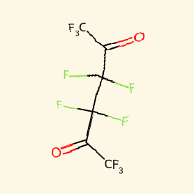 O=C(C(F)(F)F)C(F)(F)C(F)(F)C(=O)C(F)(F)F